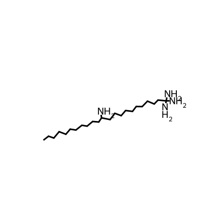 CCCCCCCCCCCC(N)CCCCCCCCCCC(N)(N)N